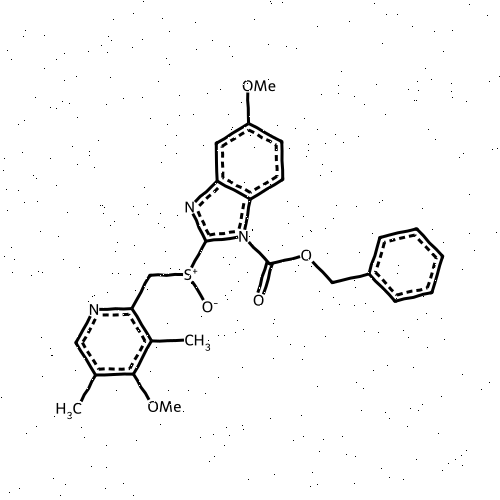 COc1ccc2c(c1)nc([S+]([O-])Cc1ncc(C)c(OC)c1C)n2C(=O)OCc1ccccc1